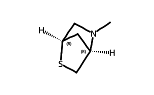 CN1C[C@H]2C[C@@H]1CS2